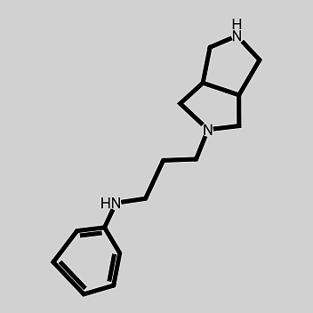 c1ccc(NCCCN2CC3CNCC3C2)cc1